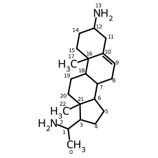 CC(N)C1CCC2C3CC=C4CC(N)CCC4(C)C3CCC12C